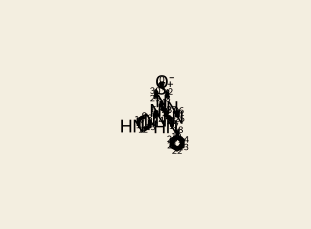 [O-][S+]1CCN(c2nc(N3CCNCC3)nc3c(NCc4ccccc4)ncnc23)CC1